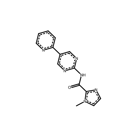 Cn1ccnc1C(=O)Nc1ncc(-c2ccccn2)cn1